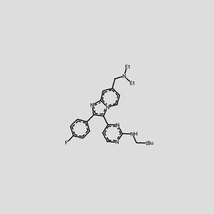 CCN(CC)Cc1ccn2c(-c3ccnc(NCC(C)(C)C)n3)c(-c3ccc(F)cc3)nc2c1